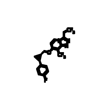 Fc1ccc([C@H]2C[C@@H]2COc2ccn3c(CC(F)(F)F)nnc3c2C(F)(F)F)cc1